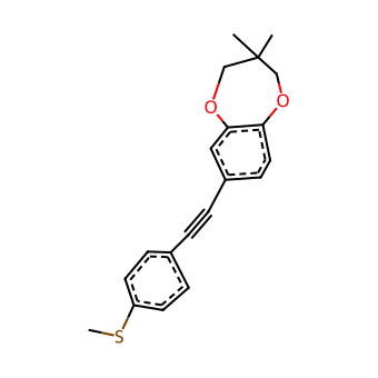 CSc1ccc(C#Cc2ccc3c(c2)OCC(C)(C)CO3)cc1